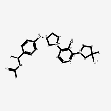 CC(=O)N[C@@H](C)c1ccc(O[C@@H]2CCN(c3ccnc(N4CCC(C)(O)C4)c3Cl)C2)cc1